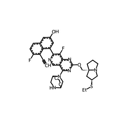 C#Cc1c(F)ccc2cc(O)cc(-c3ncc4c(N5CC6CCCC5CN6)nc(OC[C@]56CCCN5C[C@@H](SCC)C6)nc4c3F)c12